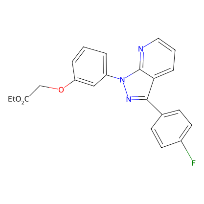 CCOC(=O)COc1cccc(-n2nc(-c3ccc(F)cc3)c3cccnc32)c1